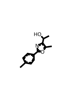 Cc1ccc(-c2nc(C(C)O)c(C)o2)cc1